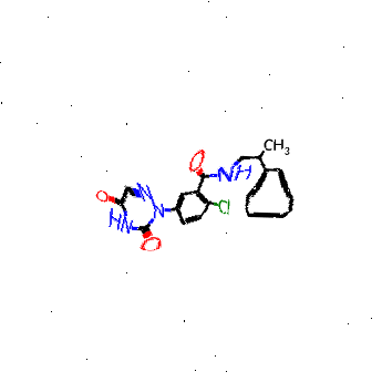 CC(CNC(=O)c1cc(-n2ncc(=O)[nH]c2=O)ccc1Cl)c1ccccc1